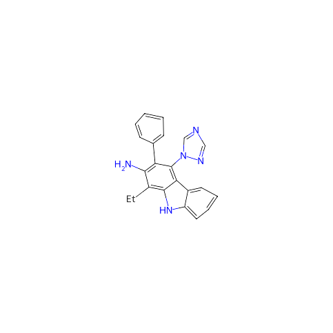 CCc1c(N)c(-c2ccccc2)c(-n2cncn2)c2c1[nH]c1ccccc12